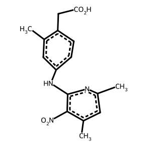 Cc1cc(C)c([N+](=O)[O-])c(Nc2ccc(CC(=O)O)c(C)c2)n1